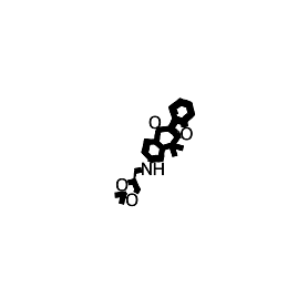 CC1(C)OC[C@H](CNC2=CC3C(C=C2)C(=O)c2c(oc4ccccc24)C3(C)C)O1